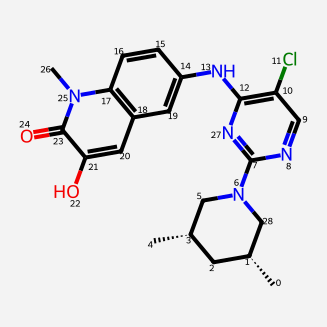 C[C@@H]1C[C@H](C)CN(c2ncc(Cl)c(Nc3ccc4c(c3)cc(O)c(=O)n4C)n2)C1